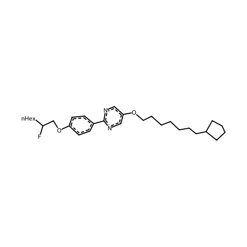 CCCCCCC(F)COc1ccc(-c2ncc(OCCCCCCCC3CCCC3)cn2)cc1